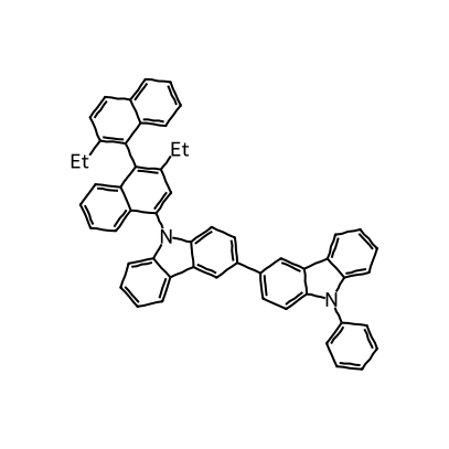 CCc1ccc2ccccc2c1-c1c(CC)cc(-n2c3ccccc3c3cc(-c4ccc5c(c4)c4ccccc4n5-c4ccccc4)ccc32)c2ccccc12